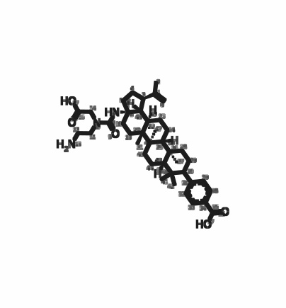 C=C(C)[C@@H]1CC[C@]2(NC(=O)N(CCN)CC(=O)O)CC[C@]3(C)[C@H](CC[C@@H]4[C@@]5(C)CCC(c6ccc(C(=O)O)cc6)C(C)(C)[C@@H]5CC[C@]43C)[C@@H]12